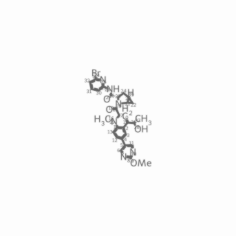 C=C(c1cc(-c2cnc(OC)nc2)ccc1N(C)CC(=O)N1C2C[C@@H]2C[C@H]1C(=O)Nc1cccc(Br)n1)C(C)O